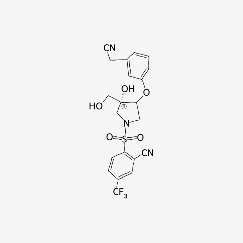 N#CCc1cccc(OC2CN(S(=O)(=O)c3ccc(C(F)(F)F)cc3C#N)C[C@@]2(O)CO)c1